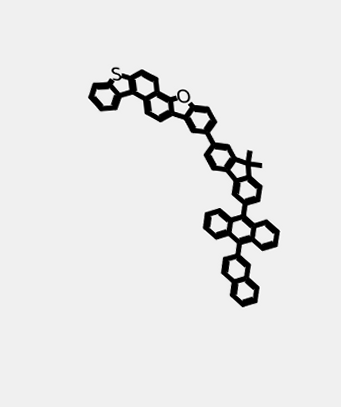 CC1(C)c2ccc(-c3c4ccccc4c(-c4ccc5ccccc5c4)c4ccccc34)cc2-c2ccc(-c3ccc4oc5c(ccc6c5ccc5sc7ccccc7c56)c4c3)cc21